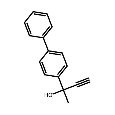 C#CC(C)(O)c1ccc(-c2ccccc2)cc1